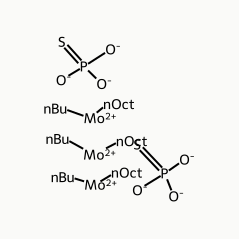 CCCCCCC[CH2][Mo+2][CH2]CCC.CCCCCCC[CH2][Mo+2][CH2]CCC.CCCCCCC[CH2][Mo+2][CH2]CCC.[O-]P([O-])([O-])=S.[O-]P([O-])([O-])=S